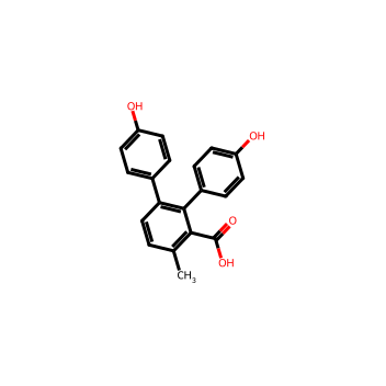 Cc1ccc(-c2ccc(O)cc2)c(-c2ccc(O)cc2)c1C(=O)O